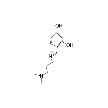 CN(C)CCC/N=C/c1ccc(O)cc1O